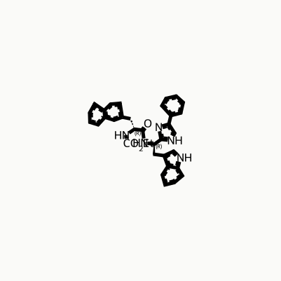 CCOC(=O)N[C@H](Cc1ccc2ccccc2c1)C(=O)N[C@H](Cc1c[nH]c2ccccc12)c1nc(-c2ccccc2)c[nH]1